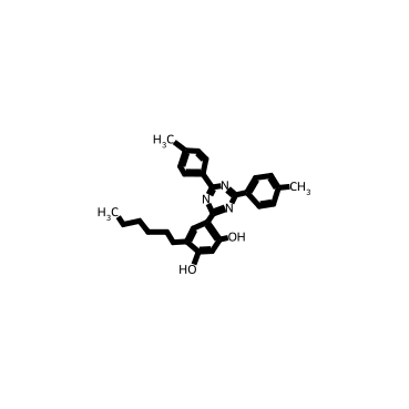 CCCCCCc1cc(-c2nc(-c3ccc(C)cc3)nc(-c3ccc(C)cc3)n2)c(O)cc1O